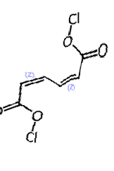 O=C(/C=C\C=C/C(=O)OCl)OCl